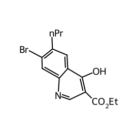 CCCc1cc2c(O)c(C(=O)OCC)cnc2cc1Br